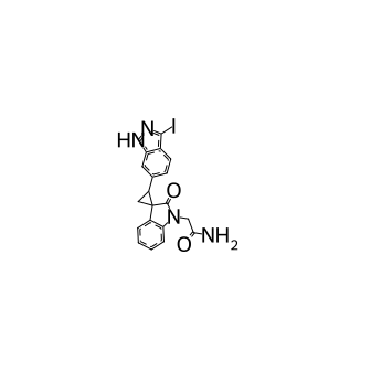 NC(=O)CN1C(=O)C2(CC2c2ccc3c(I)n[nH]c3c2)c2ccccc21